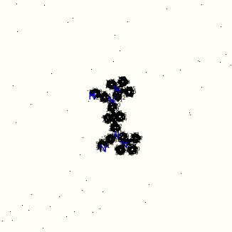 c1ccc(-c2c(-c3ccccc3)n(-c3ccccc3)c3cc(N(c4ccc(-c5cccnc5)cc4)c4ccc(-c5c6ccccc6c(-c6ccc(N(c7ccc(-c8cccnc8)cc7)c7ccc8c(-c9ccccc9)c(-c9ccccc9)n(-c9ccccc9)c8c7)cc6)c6ccccc56)cc4)ccc23)cc1